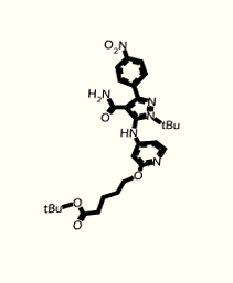 CC(C)(C)OC(=O)CCCCOc1cc(Nc2c(C(N)=O)c(-c3ccc([N+](=O)[O-])cc3)nn2C(C)(C)C)ccn1